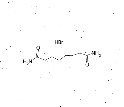 Br.NC(=O)CCCCCCC(N)=O